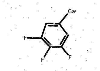 Fc1c[c]([Ga])cc(F)c1F